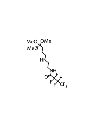 CO[Si](CCCNCCNC(=O)C(F)(F)C(F)(F)C(F)(F)F)(OC)OC